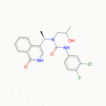 CC(O)CN(C(=O)Nc1ccc(F)c(Cl)c1)[C@H](C)c1c[nH]c(=O)c2ccccc12